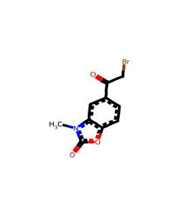 Cn1c(=O)oc2ccc(C(=O)CBr)cc21